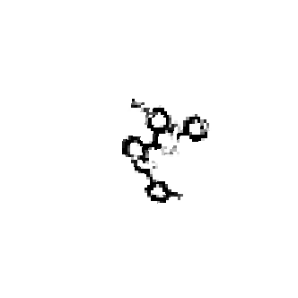 CC(=O)N1CCC(NC2CCOCC2)=C(C(=N)C2CC=Cn3cc(-c4cccc(F)c4)nc32)C1